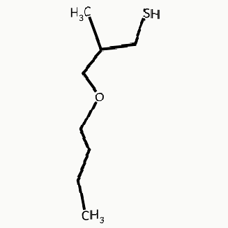 CCCCOCC(C)CS